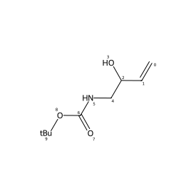 C=CC(O)CNC(=O)OC(C)(C)C